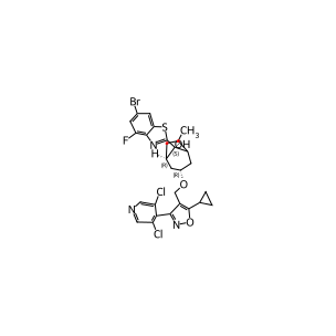 CC1C[C@@H]2C[C@@H](OCc3c(-c4c(Cl)cncc4Cl)noc3C3CC3)CC1[C@]2(O)c1nc2c(F)cc(Br)cc2s1